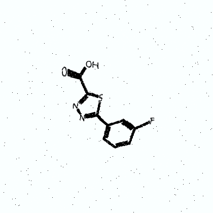 O=C(O)c1nnc(-c2cccc(F)c2)s1